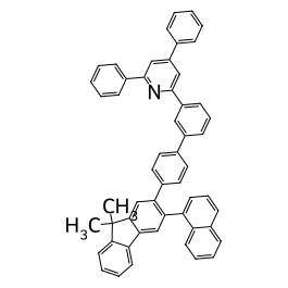 CC1(C)c2ccccc2-c2cc(-c3cccc4ccccc34)c(-c3ccc(-c4cccc(-c5cc(-c6ccccc6)cc(-c6ccccc6)n5)c4)cc3)cc21